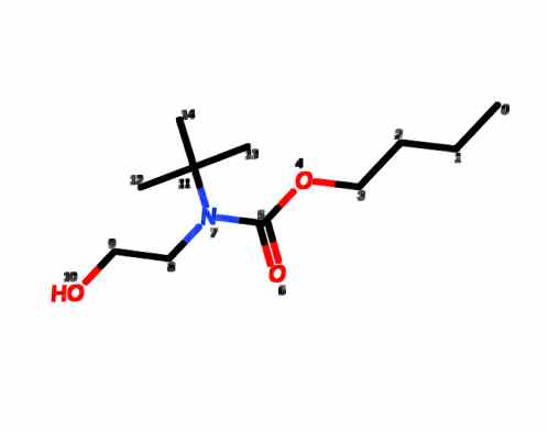 CCCCOC(=O)N(CCO)C(C)(C)C